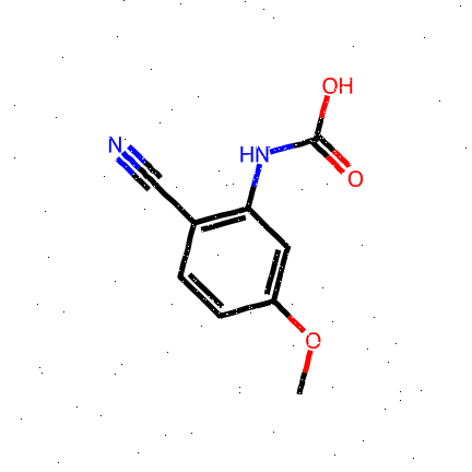 COc1ccc(C#N)c(NC(=O)O)c1